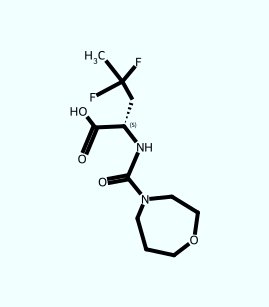 CC(F)(F)C[C@H](NC(=O)N1CCCOCC1)C(=O)O